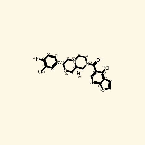 O=C(c1cnc2sccc2c1Cl)N1CCN2C[C@@H](c3ccc(F)c(Cl)c3)OC[C@@H]2C1